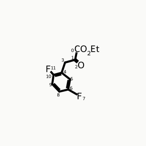 CCOC(=O)C(=O)Cc1cc(F)ccc1F